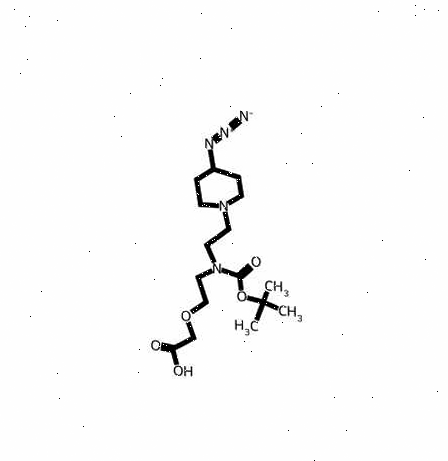 CC(C)(C)OC(=O)N(CCOCC(=O)O)CCN1CCC(N=[N+]=[N-])CC1